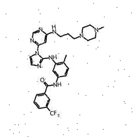 Cc1ccc(NC(=O)c2cccc(C(F)(F)F)c2)cc1Nc1nccn1-c1cc(NCCCN2CCN(C)CC2)ncn1